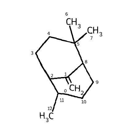 C=C1C2CCC(C)(C)C1CCC2C